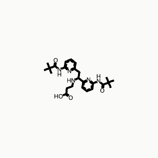 CC(C)(C)C(=O)Nc1cccc(CC(NCCC(=O)O)c2cccc(NC(=O)C(C)(C)C)n2)n1